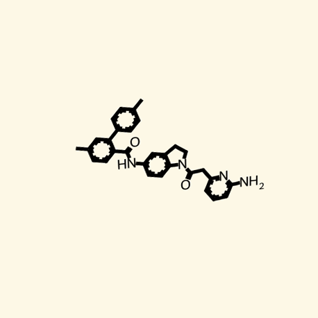 Cc1ccc(-c2cc(C)ccc2C(=O)Nc2ccc3c(c2)CCN3C(=O)Cc2cccc(N)n2)cc1